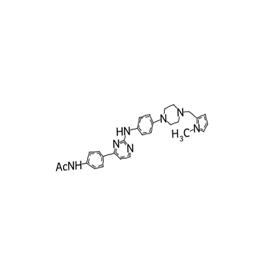 CC(=O)Nc1ccc(-c2ccnc(Nc3ccc(N4CCN(Cc5cccn5C)CC4)cc3)n2)cc1